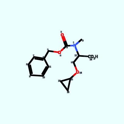 CN(C(=O)OCc1ccccc1)C(COC1CC1)C(=O)O